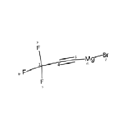 FC(F)(F)C#[C][Mg][Br]